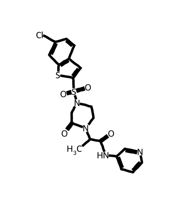 CC(C(=O)Nc1cccnc1)N1CCN(S(=O)(=O)c2cc3ccc(Cl)cc3s2)CC1=O